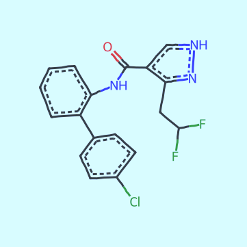 O=C(Nc1ccccc1-c1ccc(Cl)cc1)c1c[nH]nc1CC(F)F